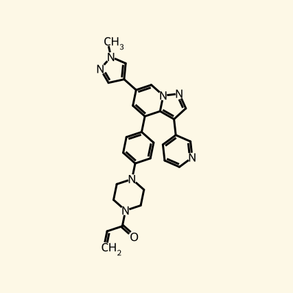 C=CC(=O)N1CCN(c2ccc(-c3cc(-c4cnn(C)c4)cn4ncc(-c5cccnc5)c34)cc2)CC1